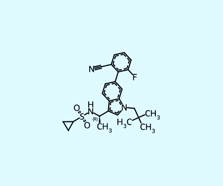 C[C@@H](NS(=O)(=O)C1CC1)c1cn(CC(C)(C)C)c2cc(-c3c(F)cccc3C#N)ccc12